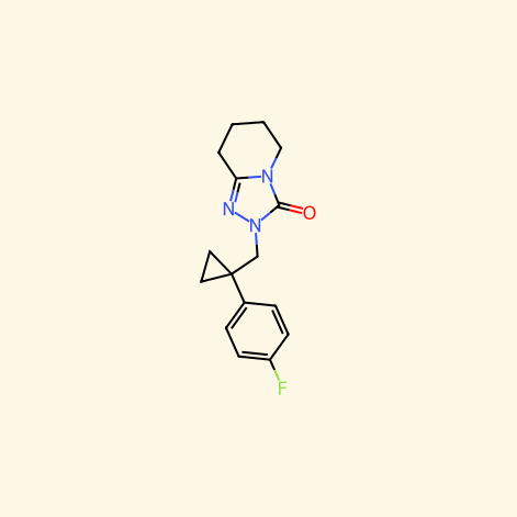 O=c1n(CC2(c3ccc(F)cc3)CC2)nc2n1CCCC2